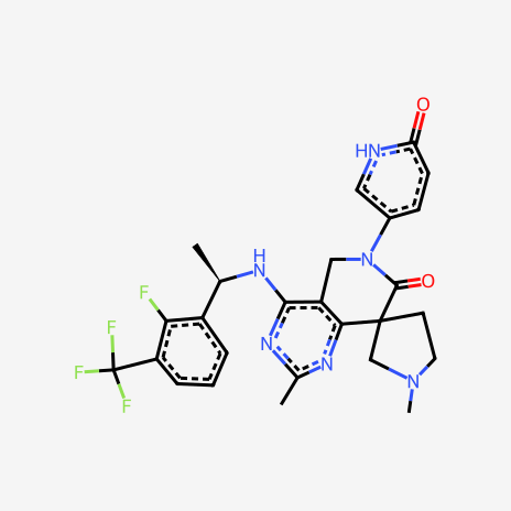 Cc1nc(N[C@H](C)c2cccc(C(F)(F)F)c2F)c2c(n1)C1(CCN(C)C1)C(=O)N(c1ccc(=O)[nH]c1)C2